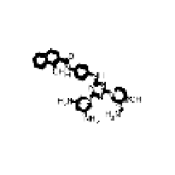 NC[C@H]1CN(c2nc(Nc3ccc(NC(=O)c4ccc5ccccc5c4O)cc3)nc(N3C[C@H](N)C[C@H](N)C3)n2)CC[C@H]1O